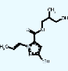 CC=Cn1nc(C(C)(C)C)cc1C(=O)NCC(C)CO